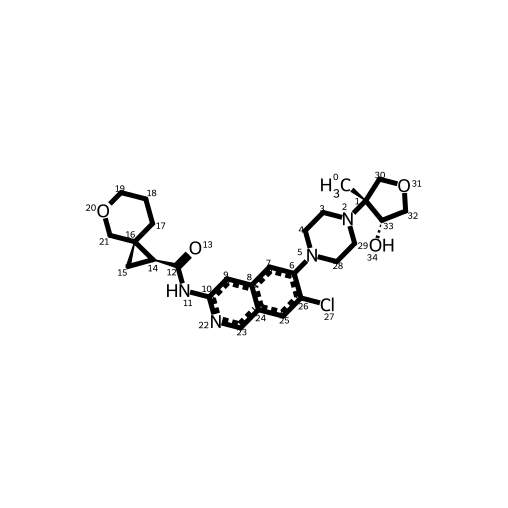 C[C@@]1(N2CCN(c3cc4cc(NC(=O)[C@H]5C[C@@]56CCCOC6)ncc4cc3Cl)CC2)COC[C@@H]1O